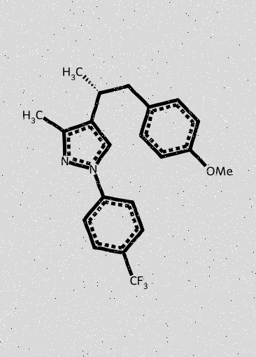 COc1ccc(C[C@@H](C)c2cn(-c3ccc(C(F)(F)F)cc3)nc2C)cc1